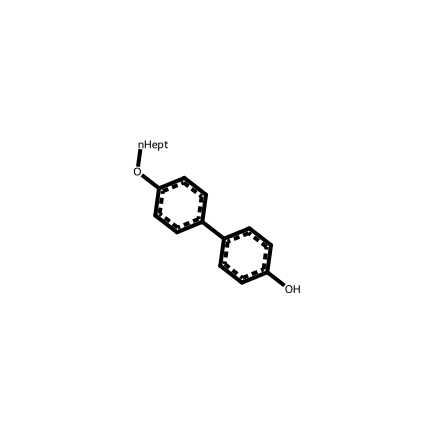 CCCCCCCOc1ccc(-c2ccc(O)cc2)cc1